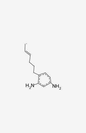 [CH2]C=CCCCc1ccc(N)cc1N